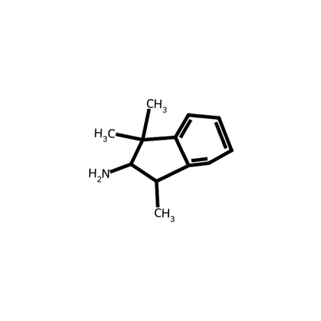 CC1c2ccccc2C(C)(C)C1N